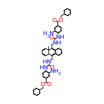 CC12C=CC=CC1C(CNC(=O)Nc1ccc(C(=O)OCc3ccccc3)cc1N)=c1ccccc1=C2CNC(=O)Nc1ccc(C(=O)OCc2ccccc2)cc1N